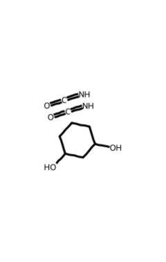 N=C=O.N=C=O.OC1CCCC(O)C1